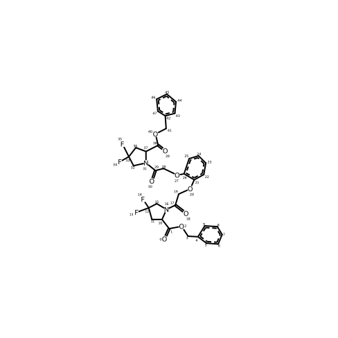 O=C(OCc1ccccc1)C1CC(F)(F)CN1C(=O)COc1ccccc1OCC(=O)N1CC(F)(F)CC1C(=O)OCc1ccccc1